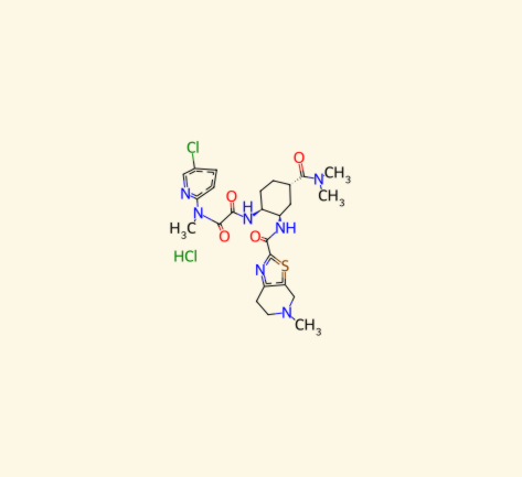 CN1CCc2nc(C(=O)N[C@@H]3C[C@@H](C(=O)N(C)C)CC[C@@H]3NC(=O)C(=O)N(C)c3ccc(Cl)cn3)sc2C1.Cl